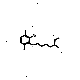 CCC(C)CCCCOc1c(C)ccc(C)c1Br